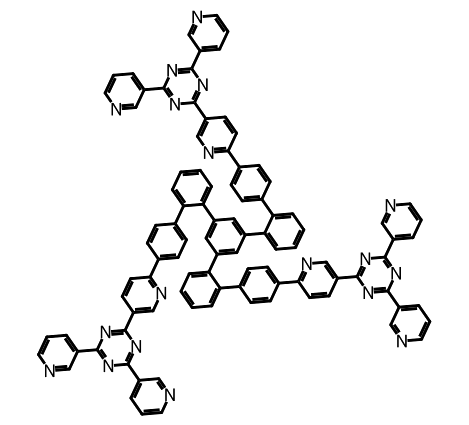 c1cncc(-c2nc(-c3cccnc3)nc(-c3ccc(-c4ccc(-c5ccccc5-c5cc(-c6ccccc6-c6ccc(-c7ccc(-c8nc(-c9cccnc9)nc(-c9cccnc9)n8)cn7)cc6)cc(-c6ccccc6-c6ccc(-c7ccc(-c8nc(-c9cccnc9)nc(-c9cccnc9)n8)cn7)cc6)c5)cc4)nc3)n2)c1